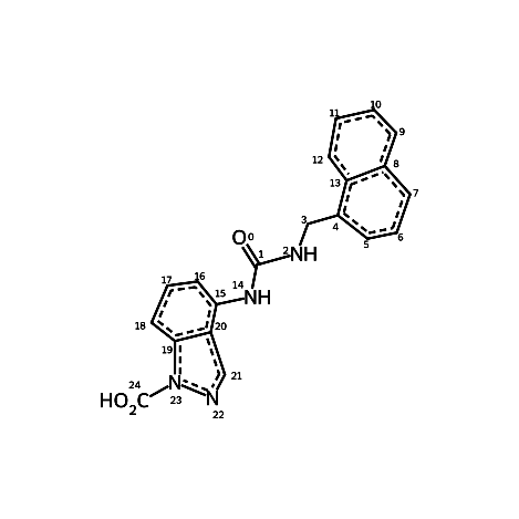 O=C(NCc1cccc2ccccc12)Nc1cccc2c1cnn2C(=O)O